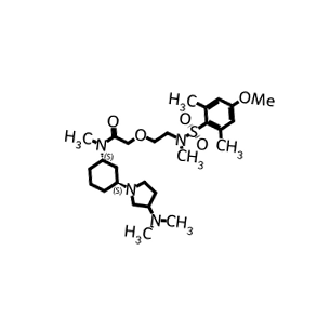 COc1cc(C)c(S(=O)(=O)N(C)CCOCC(=O)N(C)[C@H]2CCC[C@H](N3CCC(N(C)C)C3)C2)c(C)c1